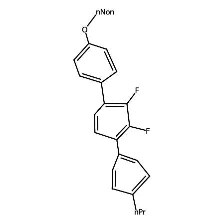 CCCCCCCCCOc1ccc(-c2ccc(-c3ccc(CCC)cc3)c(F)c2F)cc1